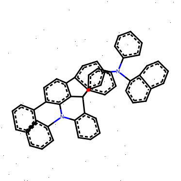 c1ccc(-c2ccc3c4c2N(c2ccccc2)c2ccccc2C4(c2ccccc2)c2cc(N(c4ccccc4)c4cccc5ccccc45)ccc2-3)cc1